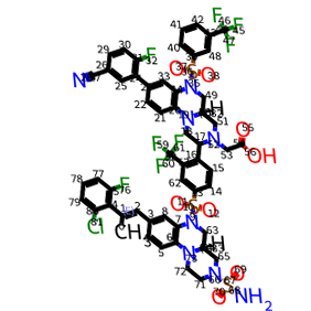 C/C(=C\c1ccc2c(c1)N(S(=O)(=O)c1ccc(C3CN4c5ccc(-c6cc(C#N)ccc6F)cc5N(S(=O)(=O)c5cccc(C(F)(F)F)c5)C[C@@H]4CN3CC(=O)O)c(C(F)(F)F)c1)C[C@@H]1CN(S(N)(=O)=O)CCN21)c1c(F)cccc1Cl